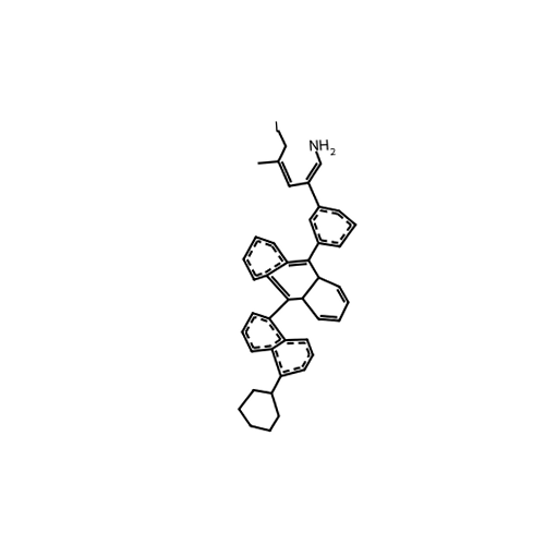 C/C(=C/C(=C\N)c1cccc(C2=c3ccccc3=C(c3cccc4c(C5CCCCC5)cccc34)C3C=CC=CC23)c1)CI